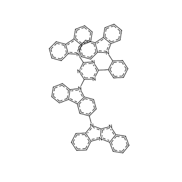 c1ccc(-n2c3ccccc3c3ccccc32)c(-c2nc(-n3c4ccccc4c4ccccc43)nc(-n3c4ccccc4c4cc(-n5c6ccccc6n6c7ccccc7nc56)ccc43)n2)c1